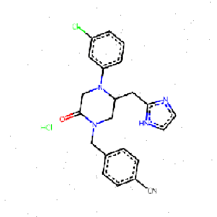 Cl.N#Cc1ccc(CN2CC(Cc3ncc[nH]3)N(c3cccc(Cl)c3)CC2=O)cc1